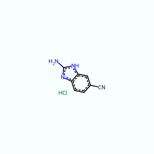 Cl.N#Cc1ccc2nc(N)[nH]c2c1